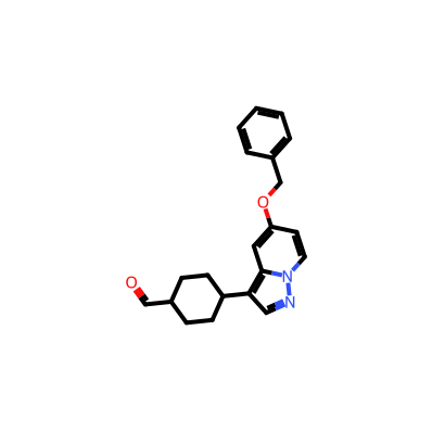 O=CC1CCC(c2cnn3ccc(OCc4ccccc4)cc23)CC1